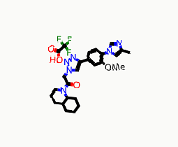 COc1cc(-c2cn(CC(=O)N3CCCC4CCCCC43)nn2)ccc1-n1cnc(C)c1.O=C(O)C(F)(F)F